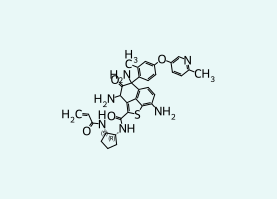 C=CC(=O)N[C@H]1CCC[C@H]1NC(=O)c1sc2c(N)ccc3c2c1C(N)C(=O)C3(N)c1ccc(Oc2ccc(C)nc2)cc1C